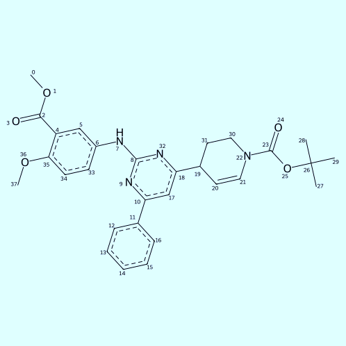 COC(=O)c1cc(Nc2nc(-c3ccccc3)cc(C3C=CN(C(=O)OC(C)(C)C)CC3)n2)ccc1OC